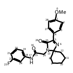 COc1ccc(C2=NC3(CCCCC3)N(CC(=O)Nc3cccc(F)c3)C2=O)cc1